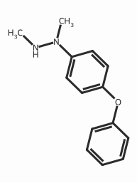 CNN(C)c1ccc(Oc2ccccc2)cc1